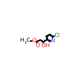 CCOC(=O)C[C@H](O)c1ccc(Cl)nc1